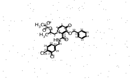 CC(Cn1ccc(=O)c(OCc2ccccc2)c1C(=O)NCc1ccc(Cl)c(Cl)c1)OS(C)(=O)=O